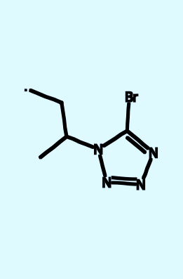 [CH2]CC(C)n1nnnc1Br